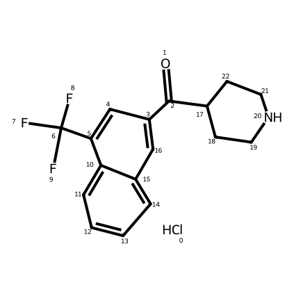 Cl.O=C(c1cc(C(F)(F)F)c2ccccc2c1)C1CCNCC1